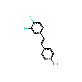 Oc1ccc(C=Cc2ccc(F)c(F)c2)cc1